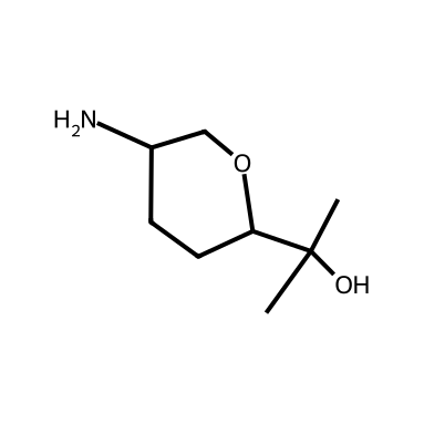 CC(C)(O)C1CCC(N)CO1